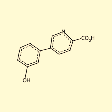 O=C(O)c1ccc(-c2cccc(O)c2)cn1